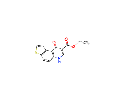 CCOC(=O)c1c[nH]c2ccc3sccc3c2c1=O